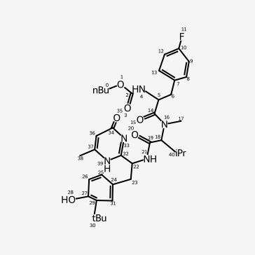 CCCCOC(=O)NC(Cc1ccc(F)cc1)C(=O)N(C)C(C(=O)NC(Cc1ccc(O)c(C(C)(C)C)c1)c1nc(=O)cc(C)[nH]1)C(C)C